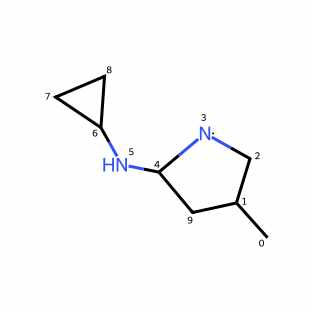 CC1C[N]C(NC2CC2)C1